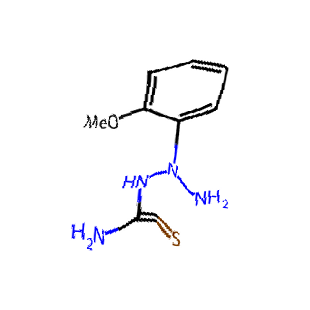 COc1ccccc1N(N)NC(N)=S